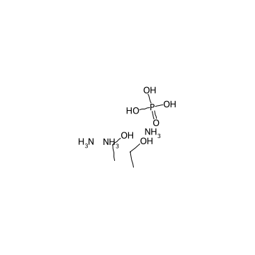 CCO.CCO.N.N.N.O=P(O)(O)O